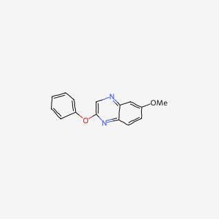 COc1ccc2nc(Oc3ccccc3)cnc2c1